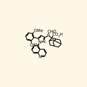 COc1cccc(OC)c1-c1cc(N(C=O)C2(C(=O)O)C3CC4CC(C3)CC2C4)nn1-c1cccc2ncccc12